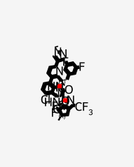 C[C@@H]1Cc2c(C(F)(F)F)nn(CC(=O)N[C@@H](Cc3cc(F)cc(F)c3)c3nc(-c4cnn(C)c4)ccc3-c3ccc(Cl)c4c(NS(C)(=O)=O)nn(C)c34)c2C1(F)F